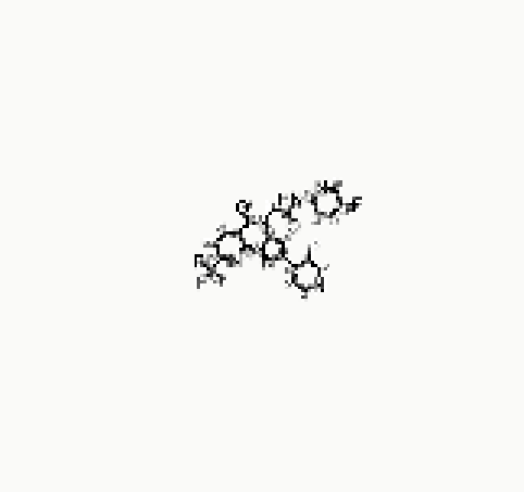 Cc1cnccc1-c1cc2n(CC(=O)Nc3ccc(F)cn3)c(=O)c3ccc(C(F)(F)F)nc3n2n1